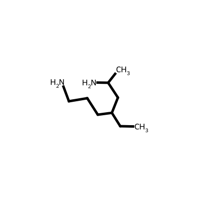 CCC(CCCN)CC(C)N